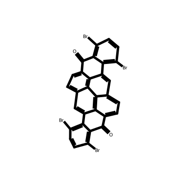 O=c1c2ccc3cc4c5c(Br)ccc(Br)c5c(=O)c5ccc6cc(c7c(Br)ccc(Br)c17)c2c3c6c54